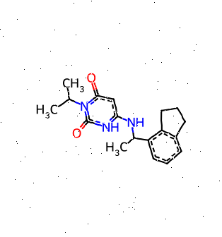 CC(Nc1cc(=O)n(C(C)C)c(=O)[nH]1)c1cccc2c1CCC2